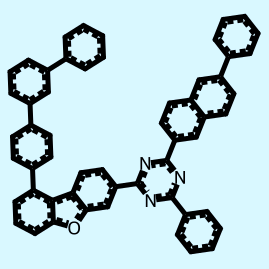 c1ccc(-c2cccc(-c3ccc(-c4cccc5oc6cc(-c7nc(-c8ccccc8)nc(-c8ccc9cc(-c%10ccccc%10)ccc9c8)n7)ccc6c45)cc3)c2)cc1